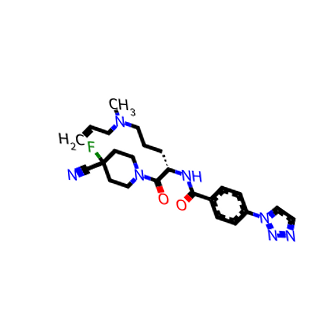 C=CCN(C)CCC[C@H](NC(=O)c1ccc(-n2ccnn2)cc1)C(=O)N1CCC(F)(C#N)CC1